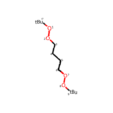 CC(C)(C)OOCCCCOOC(C)(C)C